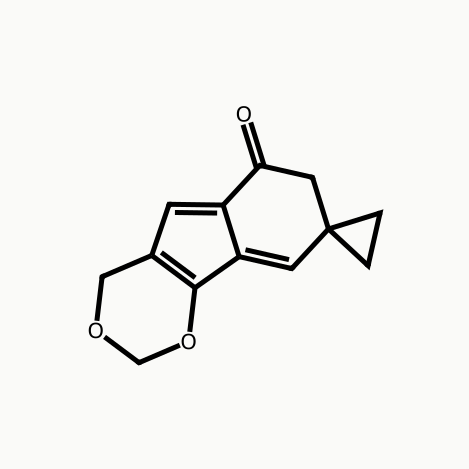 O=C1CC2(C=C3C1=CC1=C3OCOC1)CC2